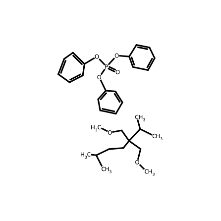 COCC(CCC(C)C)(COC)C(C)C.O=P(Oc1ccccc1)(Oc1ccccc1)Oc1ccccc1